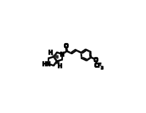 O=C(C=Cc1ccc(OC(F)(F)F)cc1)N1C[C@H]2CNC[C@H]2C1